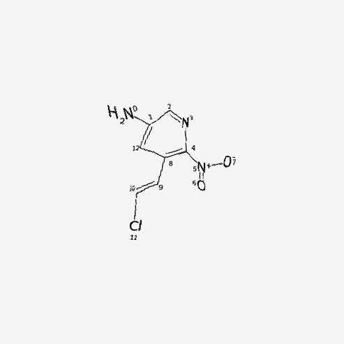 Nc1cnc([N+](=O)[O-])c(C=CCl)c1